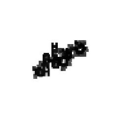 Cc1c(C(=O)NC[C@H]2CCO2)oc2c1-c1nn(Cc3ccccn3)cc1CC2